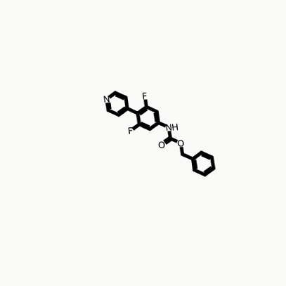 O=C(Nc1cc(F)c(-c2ccncc2)c(F)c1)OCc1ccccc1